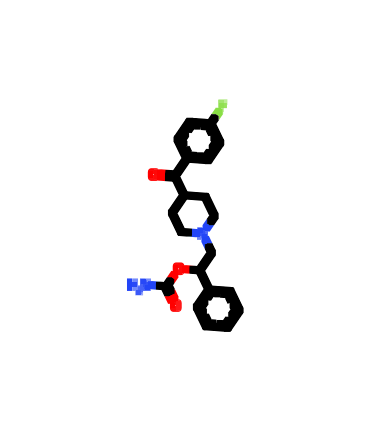 NC(=O)OC(CN1CCC(C(=O)c2ccc(F)cc2)CC1)c1ccccc1